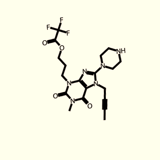 CC#CCn1c(N2CCNCC2)nc2c1c(=O)n(C)c(=O)n2CCCOC(=O)C(F)(F)F